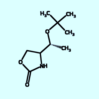 C[C@@H](OC(C)(C)C)C1COC(=O)N1